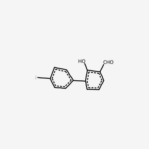 [C]c1ccc(-c2cccc(C=O)c2O)cc1